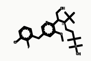 COc1cc(Cc2cccc(Cl)c2F)cnc1C(CO)[C@H](CCC(C)(C)[Si](C)(C)O)C(C)(C)C